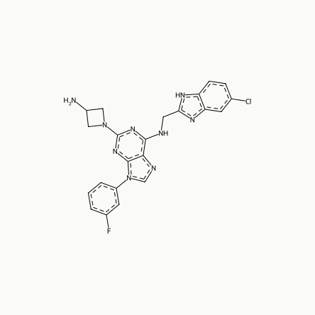 NC1CN(c2nc(NCc3nc4cc(Cl)ccc4[nH]3)c3ncn(-c4cccc(F)c4)c3n2)C1